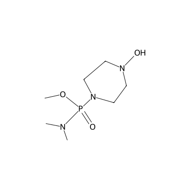 COP(=O)(N(C)C)N1CCN(O)CC1